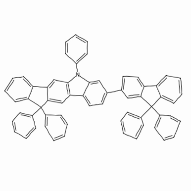 c1ccc(-n2c3cc(-c4ccc5c(c4)C(c4ccccc4)(c4ccccc4)c4ccccc4-5)ccc3c3cc4c(cc32)-c2ccccc2C4(c2ccccc2)c2ccccc2)cc1